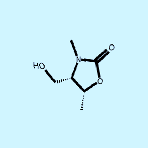 C[C@H]1OC(=O)N(C)[C@H]1CO